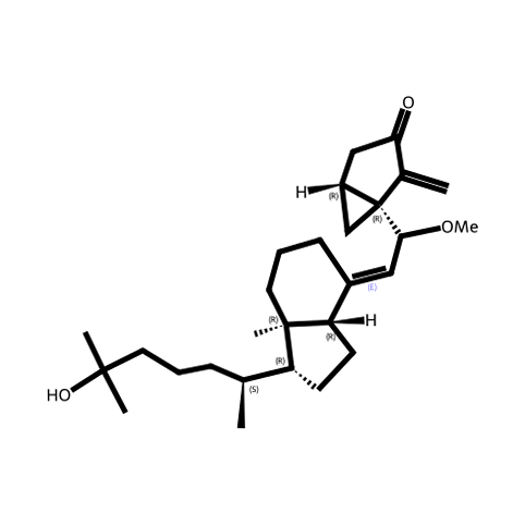 C=C1C(=O)C[C@H]2C[C@]12C(/C=C1\CCC[C@]2(C)[C@@H]([C@@H](C)CCCC(C)(C)O)CC[C@@H]12)OC